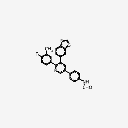 Cc1cc(-c2ncc(-c3ccc(NC=O)cc3)cc2-c2ccc3ncsc3c2)ccc1F